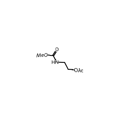 COC(=O)NCCOC(C)=O